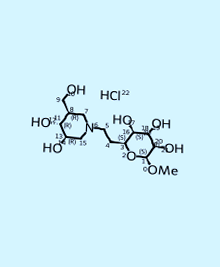 CO[C@H]1O[C@@H](CCN2C[C@H](CO)[C@@H](O)[C@H](O)C2)[C@@H](O)[C@@H](O)[C@H]1O.Cl